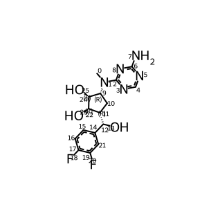 CN(c1ncnc(N)n1)[C@@H]1C[C@H](C(O)c2ccc(F)c(F)c2)[C@@H](O)[C@H]1O